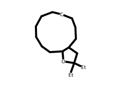 CCC1(CC)CC2CCCCCCCCCCC2O1